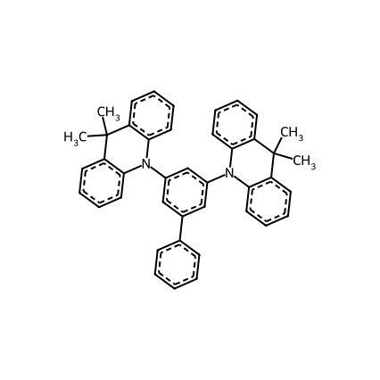 CC1(C)c2ccccc2N(c2cc(-c3ccccc3)cc(N3c4ccccc4C(C)(C)c4ccccc43)c2)c2ccccc21